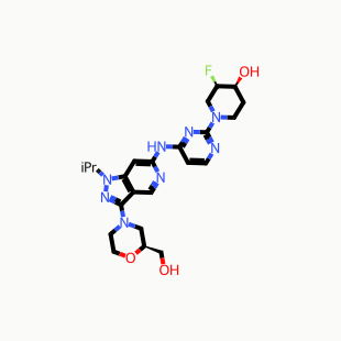 CC(C)n1nc(N2CCO[C@H](CO)C2)c2cnc(Nc3ccnc(N4CC[C@H](O)[C@H](F)C4)n3)cc21